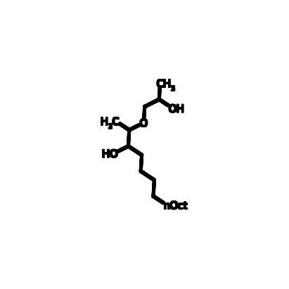 CCCCCCCCCCCCC(O)C(C)OCC(C)O